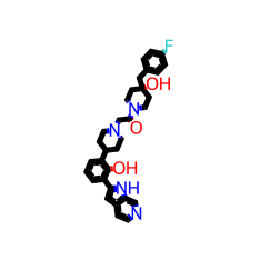 O=C(CN1CCC(c2cccc(-c3cc4ccncc4[nH]3)c2O)CC1)N1CCC(O)(Cc2ccc(F)cc2)CC1